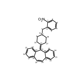 O=[N+]([O-])c1ccccc1CN1CCC(=C2c3ccccc3C=Cc3ccccc32)CC1